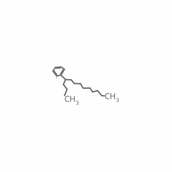 CCCCCCCCCC(CCCC)c1[c]cccc1